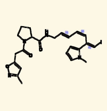 Cc1cc(CC(=O)N2CCCC2C(=O)NC/C=C/C=C\C(=C/I)c2cccn2C)on1